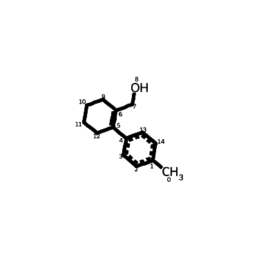 Cc1ccc(C2=C(CO)CCCC2)cc1